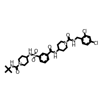 CC(C)(C)NC(=O)N1CCC(NS(=O)(=O)c2cccc(C(=O)NC3CCN(C(=O)NCc4ccc(Cl)cc4Cl)CC3)c2)CC1